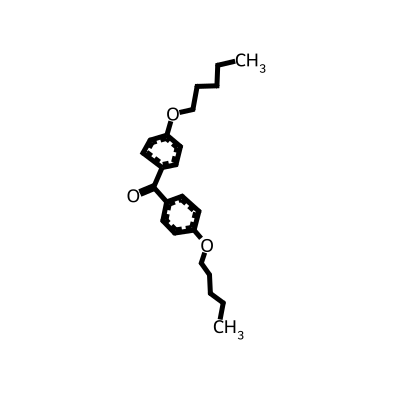 CCCCCOc1ccc(C(=O)c2ccc(OCCCCC)cc2)cc1